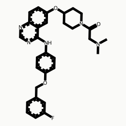 CN(C)CC(=O)N1CCC(Oc2ccc3ncnc(Nc4ccc(OCc5cccc(F)c5)cc4)c3c2)CC1